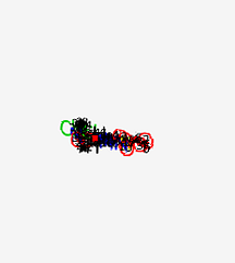 CC(=O)OC(C)CCS(=O)(=O)NC(=O)c1ccc(N2C[C@@H]3C[C@H]2C[C@H]3OCc2c(-c3c(Cl)cccc3Cl)noc2C2CC2)cc1